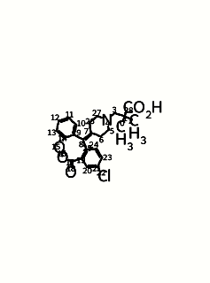 CC(C)(CN1CCC(=C2c3ccccc3OOC(=O)c3cc(Cl)ccc32)CC1)C(=O)O